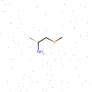 CSC[C@@H](C)N